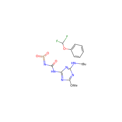 COc1nc(NC(=O)N=S(=O)=O)nc(NC(C)(C)C)n1.FC(F)Oc1ccccc1